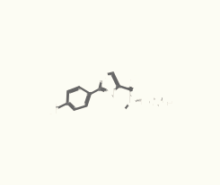 CON(C)C(=O)c1csc(-c2ccc(Cl)cc2)n1